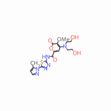 COc1c(N(CCO)CCO)cc(C(=O)Nc2nnc(-n3nccc3C)s2)oc1=O